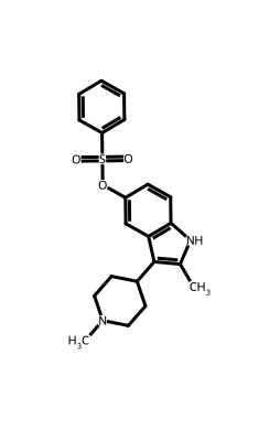 Cc1[nH]c2ccc(OS(=O)(=O)c3ccccc3)cc2c1C1CCN(C)CC1